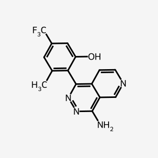 Cc1cc(C(F)(F)F)cc(O)c1-c1nnc(N)c2cnccc12